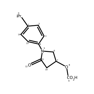 CC(C)c1ccc(N2CC(OC(=O)O)CC2=O)cc1